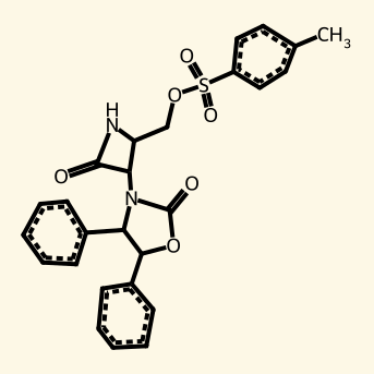 Cc1ccc(S(=O)(=O)OCC2NC(=O)C2N2C(=O)OC(c3ccccc3)C2c2ccccc2)cc1